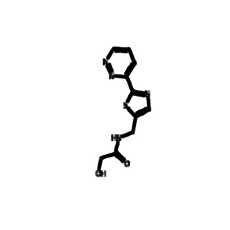 O=C(CO)NCc1cnc(-c2cccnn2)s1